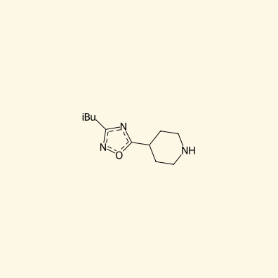 CCC(C)c1noc(C2CCNCC2)n1